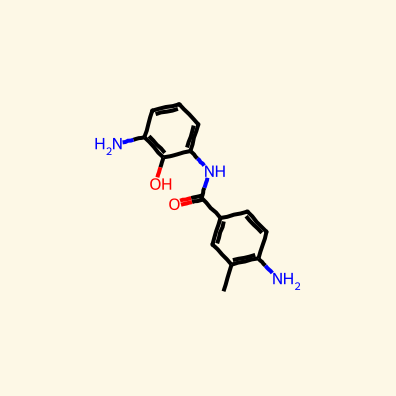 Cc1cc(C(=O)Nc2cccc(N)c2O)ccc1N